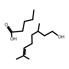 CC(C)=CCCC(C)CCO.CCCCC(=O)O